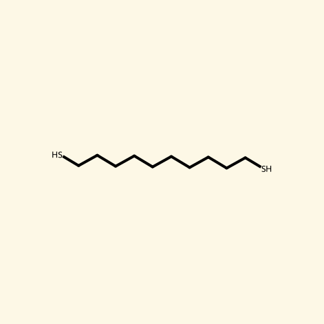 SCCCCCCCCCCS